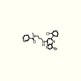 CN(CCCNc1cc(-c2ccccc2Cl)nc2c(Br)cnn12)C(=O)c1cccnc1